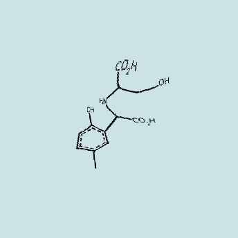 Cc1ccc(O)c(C(NC(CO)C(=O)O)C(=O)O)c1